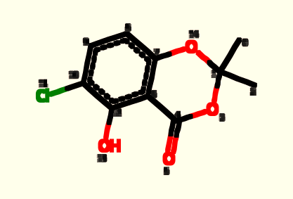 CC1(C)OC(=O)c2c(ccc(Cl)c2O)O1